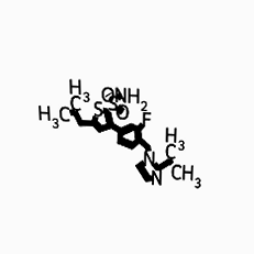 CC(C)Cc1cc(-c2ccc(Cn3ccnc3C(C)C)c(F)c2)c(S(N)(=O)=O)s1